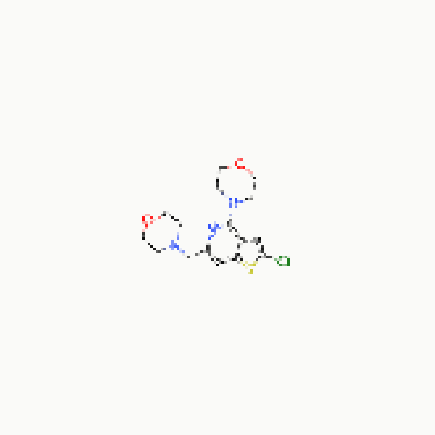 Clc1cc2c(N3CCOCC3)nc(CN3CCOCC3)cc2s1